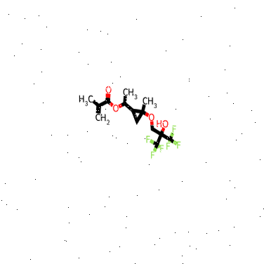 C=C(C)C(=O)OC(C)C1CC1(C)OCC(O)(C(F)(F)F)C(F)(F)F